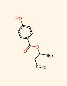 CCCCCCCCCCCC(CCCC)OC(=O)c1ccc(O)cc1